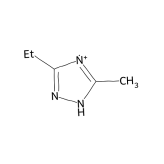 CCC1=NNC(C)=[N+]1